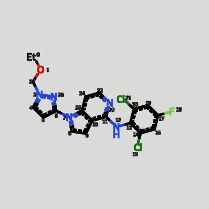 CCOCn1ccc(-n2ccc3c(Nc4c(Cl)cc(F)cc4Cl)nccc32)n1